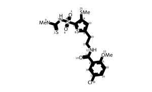 CNC(=S)NS(=O)(=O)c1sc(CCNC(=O)c2cc(Cl)ccc2OC)cc1SC